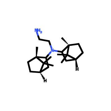 CC1(C)[C@@H]2CC[C@]1(C)C(N(CCN)C1C[C@H]3CC[C@@]1(C)C3(C)C)C2